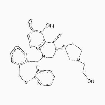 O=C1c2c(O)c(=O)ccn2N(C2c3ccccc3CSc3ccccc32)CN1[C@@H]1CCN(CCO)C1